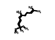 COC(C)(CCC=C(C)CCC=C(C)C)OC